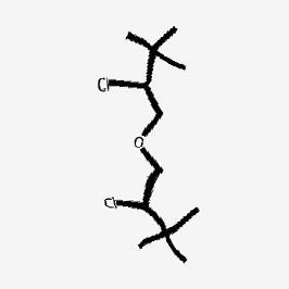 CC(C)(C)C(Cl)COCC(Cl)C(C)(C)C